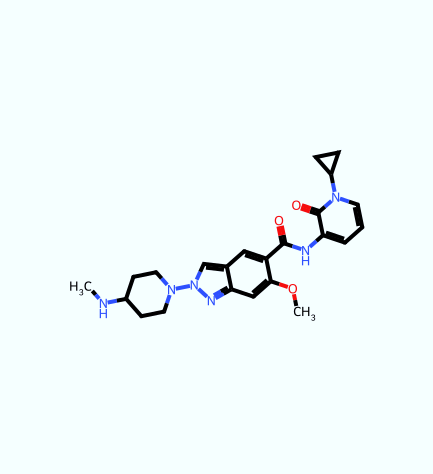 CNC1CCN(n2cc3cc(C(=O)Nc4cccn(C5CC5)c4=O)c(OC)cc3n2)CC1